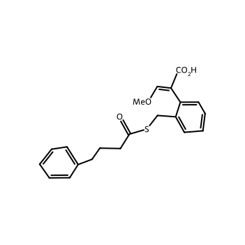 CO/C=C(/C(=O)O)c1ccccc1CSC(=O)CCCc1ccccc1